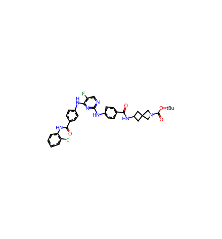 CC(C)(C)OC(=O)N1CC2(CC(NC(=O)c3ccc(Nc4ncc(F)c(Nc5ccc(C(=O)Nc6ccccc6Cl)cc5)n4)cc3)C2)C1